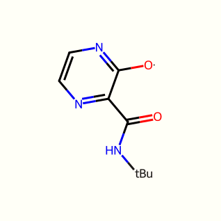 CC(C)(C)NC(=O)c1nccnc1[O]